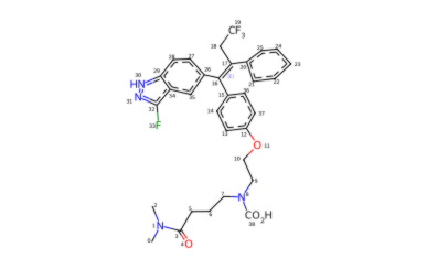 CN(C)C(=O)CCCN(CCOc1ccc(/C(=C(/CC(F)(F)F)c2ccccc2)c2ccc3[nH]nc(F)c3c2)cc1)C(=O)O